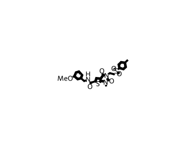 COc1cccc(CNC(=O)c2cc3c(=O)n(CCS(=O)(=O)c4ccc(C)cc4)c(=O)n(C)c3s2)c1